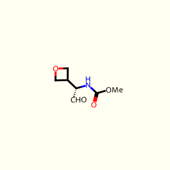 COC(=O)N[C@H](C=O)C1COC1